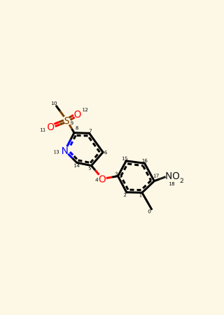 Cc1cc(Oc2ccc(S(C)(=O)=O)nc2)ccc1[N+](=O)[O-]